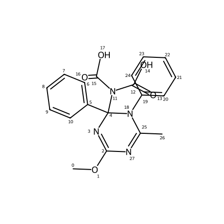 COC1=NC(c2ccccc2)(N(C(=O)O)C(=O)O)N(c2ccccc2)C(C)=N1